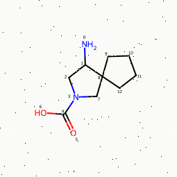 NC1CN(C(=O)O)CC12CCCC2